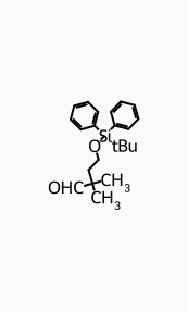 CC(C)(C=O)CCO[Si](c1ccccc1)(c1ccccc1)C(C)(C)C